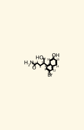 NC(=O)CCC(CO)c1cc(Br)cc2ccc(O)cc12